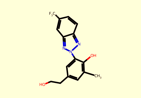 Cc1cc(CCO)cc(-n2nc3ccc(C(F)(F)F)cc3n2)c1O